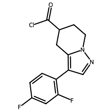 O=C(Cl)C1CCn2ncc(-c3ccc(F)cc3F)c2C1